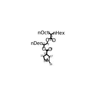 CCCCCCCCCCC(COC(=O)C(CCCCCC)CCCCCCCC)OC(=O)C1CCN(C)C1